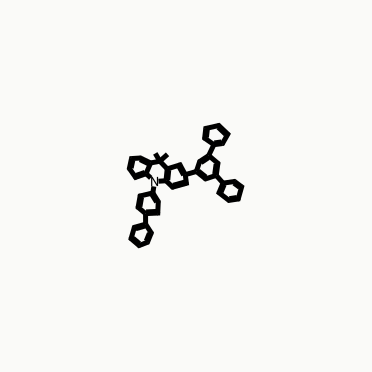 CC1(C)c2ccccc2N(c2ccc(-c3ccccc3)cc2)c2ccc(-c3cc(-c4ccccc4)cc(-c4ccccc4)c3)cc21